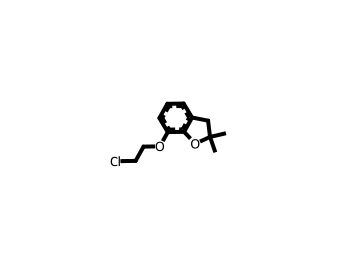 CC1(C)Cc2cccc(OCCCl)c2O1